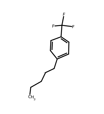 CCC[CH]Cc1ccc(C(F)(F)F)cc1